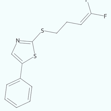 FC(F)=CCCSc1ncc(-c2ccccc2)s1